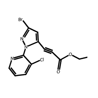 CCOC(=O)C#Cc1cc(Br)nn1-c1ncccc1Cl